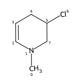 CN1C=CCC(Cl)C1